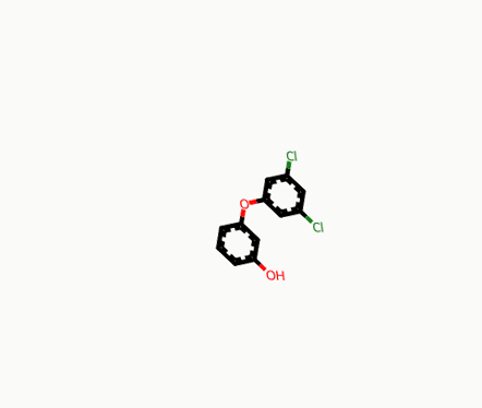 Oc1cccc(Oc2cc(Cl)cc(Cl)c2)c1